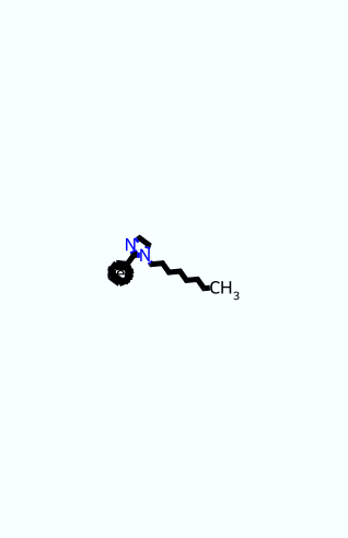 CCCCCCCCN1CCN=C1[C]12[CH]3[CH]4[CH]5[CH]1[Fe]45321678[CH]2[CH]1[CH]6[CH]7[CH]28